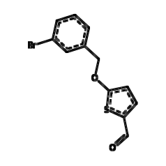 O=Cc1ccc(OCc2cccc(Br)c2)s1